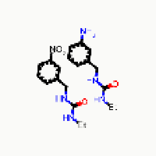 CCNC(=O)NCc1cccc(N)c1.CCNC(=O)NCc1cccc([N+](=O)[O-])c1